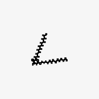 C=C(CC(=O)OCCCCCCCCCCCCCC)C(=O)OCCCCCCCCCCCCCC